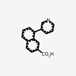 O=C(O)c1ccc2cccc(-c3cccnc3)c2c1